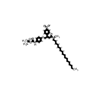 CCCCCCCCCCCCCCCCCCN(C)C(=O)C=C(COc1ccc(NC(=O)OC(C)(C)C)cc1)c1ccc([N+](=O)[O-])cc1